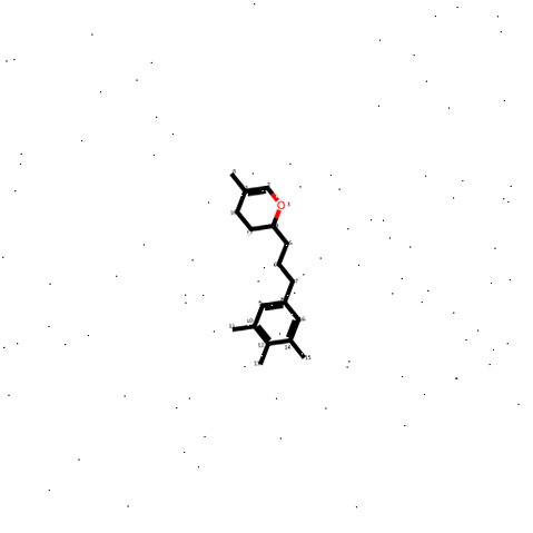 CC1=COC(CCCc2cc(C)c(C)c(C)c2)CC1